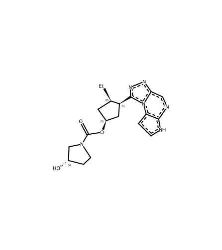 CC[C@@H]1C[C@H](OC(=O)N2CC[C@H](O)C2)C[C@@H]1c1nnc2cnc3[nH]ccc3n12